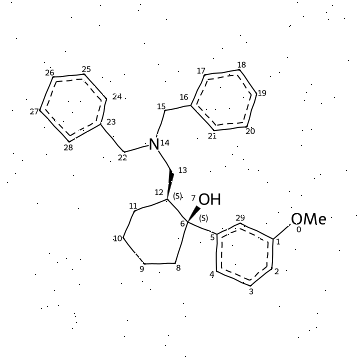 COc1cccc([C@]2(O)CCCC[C@H]2CN(Cc2ccccc2)Cc2ccccc2)c1